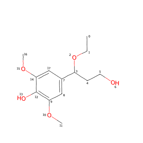 CCOC(CCO)c1cc(OC)c(O)c(OC)c1